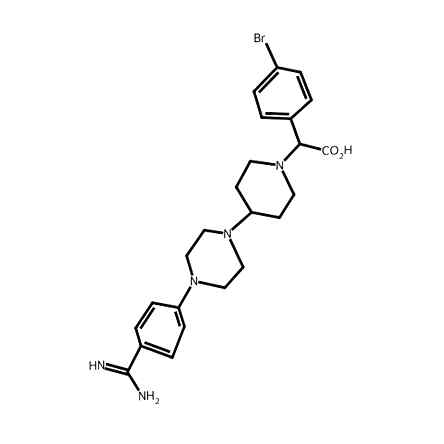 N=C(N)c1ccc(N2CCN(C3CCN(C(C(=O)O)c4ccc(Br)cc4)CC3)CC2)cc1